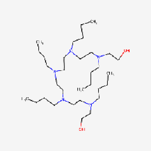 CCCCN(CCO)CCN(CCCC)CCN(CCCC)CCN(CCCC)CCN(CCO)CCCC